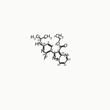 CCOC(=O)c1c(-c2ccc(NC(C)C)nc2F)nn2cccnc12